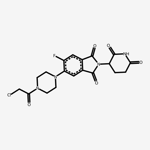 O=C1CCC(N2C(=O)c3cc(F)c(N4CCN(C(=O)CCl)CC4)cc3C2=O)C(=O)N1